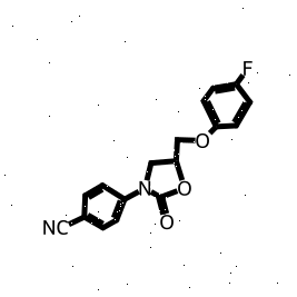 N#Cc1ccc(N2CC(COc3ccc(F)cc3)OC2=O)cc1